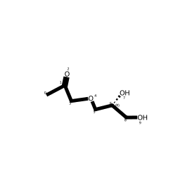 CC(=O)COC[C@H](O)CO